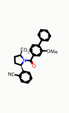 COc1cc(C(=O)N2[C@@H](c3ccccc3C#N)CC[C@H]2C(=O)O)ccc1-c1ccccc1